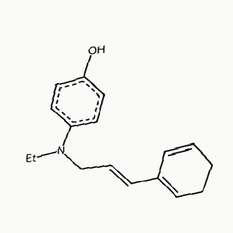 CCN(C/C=C/C1=CCCC=C1)c1ccc(O)cc1